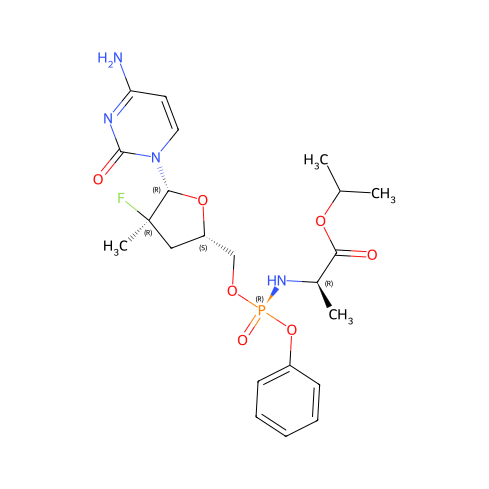 CC(C)OC(=O)[C@@H](C)N[P@@](=O)(OC[C@@H]1C[C@@](C)(F)[C@H](n2ccc(N)nc2=O)O1)Oc1ccccc1